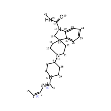 C/C=C\N=C(/C)N1CCC(N2CCC3(CC2)CN(C(=O)NC)c2ccccc23)CC1